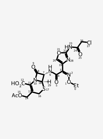 CCO/N=C(\C(=O)N[C@H]1C(=O)N2C(C(=O)O)=C(COC(C)=O)CS[C@H]12)c1coc(NC(=O)CCl)n1